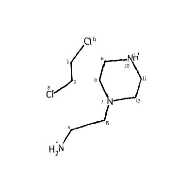 ClCCCl.NCCN1CCNCC1